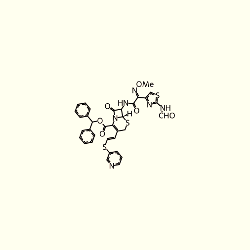 CON=C(C(=O)NC1C(=O)N2C(C(=O)OC(c3ccccc3)c3ccccc3)=C(C=CSc3cccnc3)CS[C@@H]12)c1csc(NC=O)n1